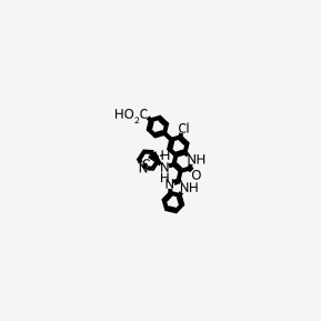 O=C(O)c1ccc(-c2cc3c(N[C@H]4CN5CCC4CC5)c(-c4nc5ccccc5[nH]4)c(=O)[nH]c3cc2Cl)cc1